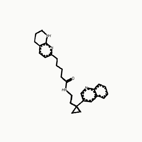 O=C(CCCCc1ccc2c(n1)NCCC2)NCCC1(c2cnc3ccccc3c2)CC1